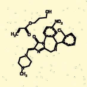 C=CC(=O)OCCCO.CN1CCN(/C=C2\N=C3CN=C(c4ccccc4Cl)c4cc([N+](=O)[O-])ccc4N3C2=O)CC1